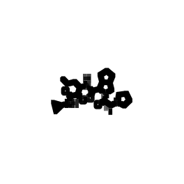 CCCC(NC(=O)C1C2CCCC2CN1C(=O)[C@@H](C)N1CCCC1)C(=O)C(=O)NC1CC1